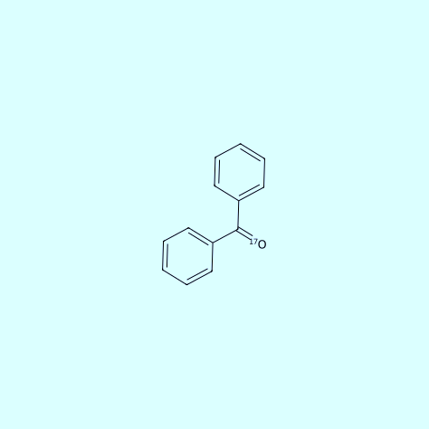 [17O]=C(c1ccccc1)c1ccccc1